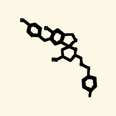 CCc1ccc(Cc2cc3c(cc2Cl)COC32CC(O)CC(COSc3ccc(C)cc3)O2)cc1